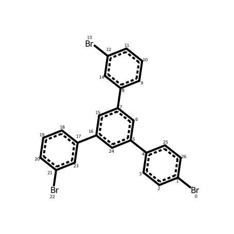 Brc1ccc(-c2cc(-c3cccc(Br)c3)cc(-c3cccc(Br)c3)c2)cc1